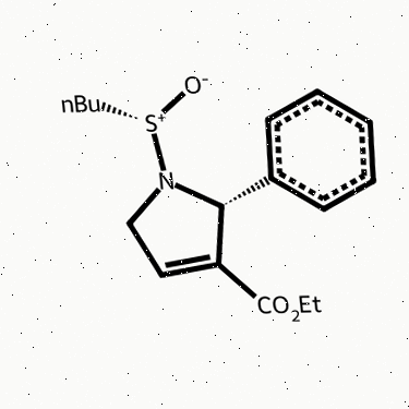 CCCC[S@+]([O-])N1CC=C(C(=O)OCC)[C@H]1c1ccccc1